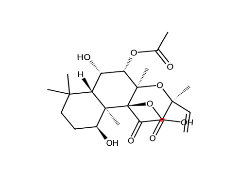 C=C[C@@]1(C)CC(=O)[C@]2(OC(=O)O)[C@@]3(C)[C@@H](O)CCC(C)(C)[C@@H]3[C@H](O)[C@H](OC(C)=O)[C@@]2(C)O1